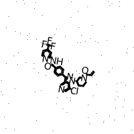 C=CC(=O)N1CCC[C@@H](n2nc(-c3ccc(C(=O)Nc4cc(C(F)(F)F)ccn4)cc3)c3cncc(Cl)c32)C1